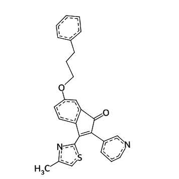 Cc1csc(C2=C(c3cccnc3)C(=O)c3cc(OCCCc4ccccc4)ccc32)n1